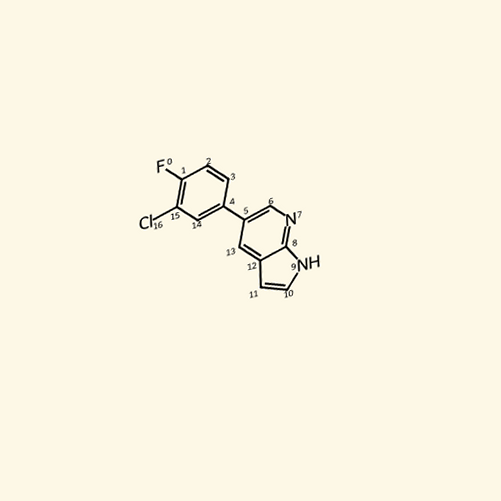 Fc1ccc(-c2cnc3[nH]ccc3c2)cc1Cl